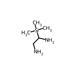 C[Si](C)(C)C(N)CN